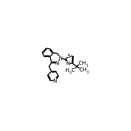 CC(C)(C)c1csc(N2Cc3ccccc3C(Cc3ccncc3)=N2)n1